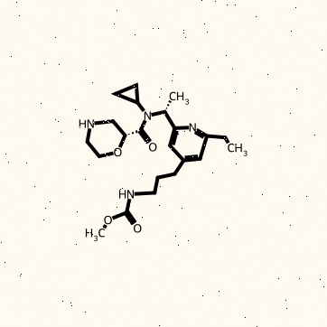 CCc1cc(CCCNC(=O)OC)cc([C@@H](C)N(C(=O)[C@H]2CNCCO2)C2CC2)n1